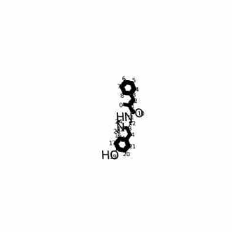 C/C(=C\c1ccccc1)C(=O)NC[C@H](Cc1ccc(O)cc1)N(C)C